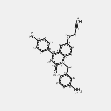 C#CCOc1ccc2c(c1)c(-c1ccc(C(C)C)cc1)nc(=O)n2Cc1cccc(N)c1